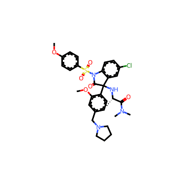 COc1ccc(S(=O)(=O)N2C(=O)C(N[C@@H](C)C(=O)N(C)C)(c3ccc(CN4CCCC4)cc3OC)c3cc(Cl)ccc32)cc1